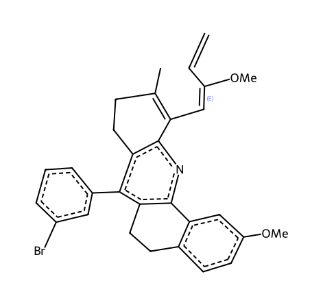 C=C/C(=C\C1=C(C)CCc2c1nc1c(c2-c2cccc(Br)c2)CCc2ccc(OC)cc2-1)OC